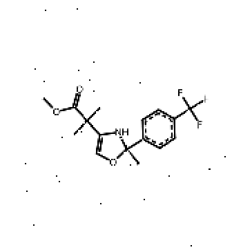 COC(=O)C(C)(C)C1=CO[C@@](C)(c2ccc(C(F)(F)F)cc2)N1